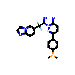 CP(C)c1ccc(-c2ccc(=N)n(C(=N)C(F)(F)c3ccc4nccn4c3)n2)cc1